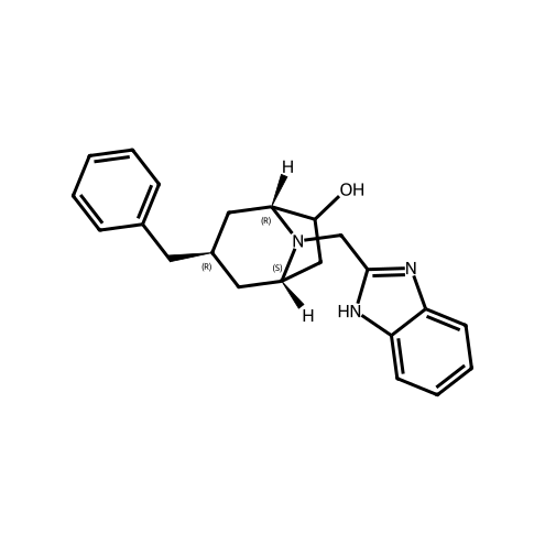 OC1C[C@@H]2C[C@@H](Cc3ccccc3)C[C@H]1N2Cc1nc2ccccc2[nH]1